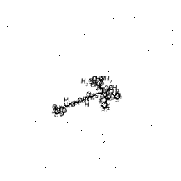 CC(C)(C)[C@H](c1cc(-c2cc(F)ccc2F)cn1Cc1ccccc1)N(CCC(CC[Si](C)(C)C)OC(N)=O)C(=O)CSCCC(=O)NCCOCCOCCNC(=O)CN1C(=O)C=CC1=O